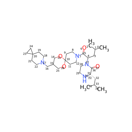 CC(C)CC(C(=O)N1CCC2(CC1)OCC(CN1CCC3(CC1)CC3)CO2)N1CCN[C@@H](CC(C)C)C1=O